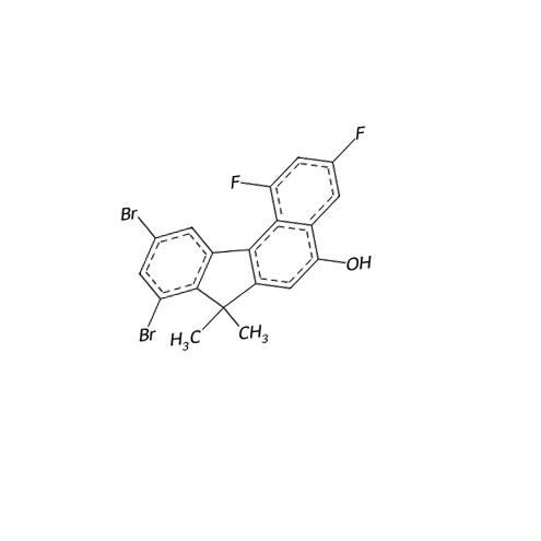 CC1(C)c2cc(O)c3cc(F)cc(F)c3c2-c2cc(Br)cc(Br)c21